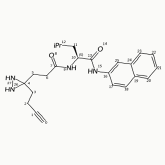 C#CCCC1(CCC(=O)N[C@@H](CC(C)C)C(=O)Nc2ccc3ccccc3c2)NN1